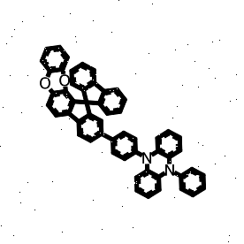 c1ccc(N2c3ccccc3N(c3ccc(-c4ccc5c(c4)C4(c6ccccc6-c6ccccc64)c4c-5ccc5c4Oc4ccccc4O5)cc3)c3ccccc32)cc1